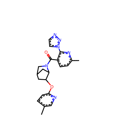 Cc1ccc(OC2CC3CC2N(C(=O)c2ccc(C)nc2-n2ccnn2)C3)nc1